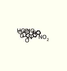 CC[C@@]1(O)C(=O)OCc2c1c([N+](=O)[O-])c1n(c2=O)Cc2cc3c([N+](=O)[O-])cccc3nc2-1